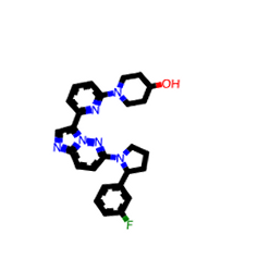 OC1CCN(c2cccc(-c3cnc4ccc(N5CCCC5c5cccc(F)c5)nn34)n2)CC1